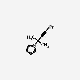 CC(C)C#CC(C)(C)n1cccc1